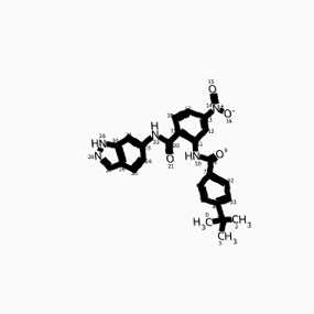 CC(C)(C)c1ccc(C(=O)Nc2cc([N+](=O)[O-])ccc2C(=O)Nc2ccc3cn[nH]c3c2)cc1